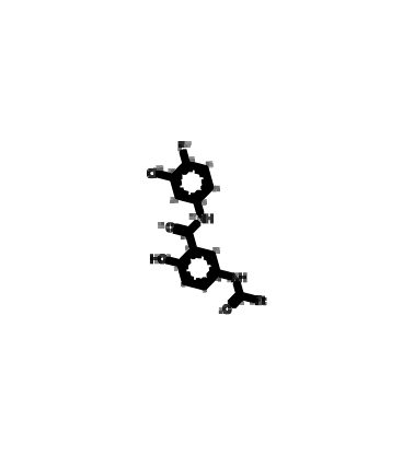 CCC(=O)Nc1ccc(O)c(C(=O)Nc2ccc(F)c(Cl)c2)c1